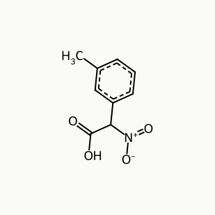 Cc1cccc(C(C(=O)O)[N+](=O)[O-])c1